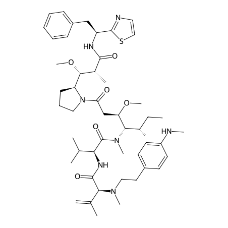 C=C(C)[C@@H](C(=O)N[C@H](C(=O)N(C)[C@@H]([C@@H](C)CC)[C@@H](CC(=O)N1CCC[C@H]1[C@H](OC)[C@@H](C)C(=O)N[C@@H](Cc1ccccc1)c1nccs1)OC)C(C)C)N(C)CCc1ccc(NC)cc1